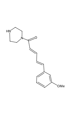 COc1cccc(/C=C/C=C/C(=O)N2CCNCC2)c1